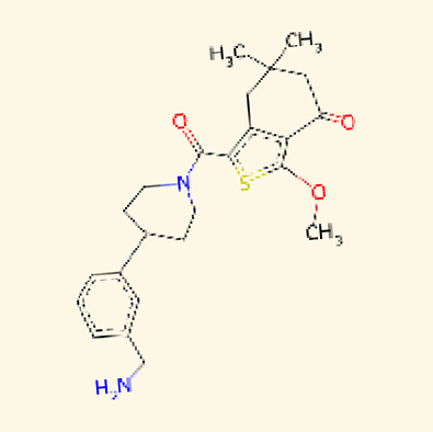 COc1sc(C(=O)N2CCC(c3cccc(CN)c3)CC2)c2c1C(=O)CC(C)(C)C2